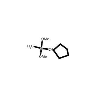 C1CCCC1.CO[Si](C)(C)OC